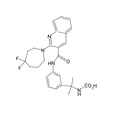 CC(C)(NC(=O)O)c1cccc(NC(=O)c2cc3ccccc3nc2N2CCCC(F)(F)CC2)c1